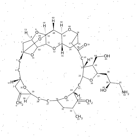 C=C1C[C@@H]2CC[C@@]34C[C@H]5O[C@@H]6C(O[C@H]7CCC(CC(=O)C[C@H]8C(C[C@H]9OC(CC[C@@H]1O2)C[C@@H](C)C9=C)O[C@H](C[C@H](O)CN)[C@@H]8CO)O[C@@H]7[C@@H]6O3)C5O4